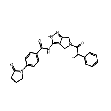 O=C(Nc1[nH]nc2c1CN(C(=O)C(F)c1ccccc1)C2)c1ccc(N2CCCC2=O)cc1